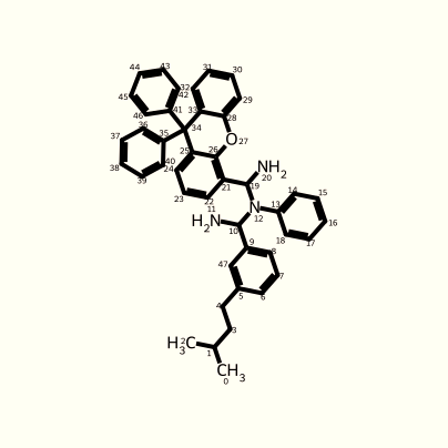 CC(C)CCc1cccc(C(N)N(c2ccccc2)C(N)c2cccc3c2Oc2ccccc2C3(c2ccccc2)c2ccccc2)c1